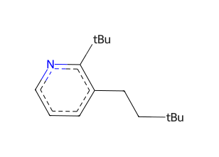 CC(C)(C)CCc1cccnc1C(C)(C)C